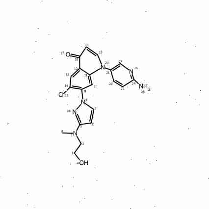 CN(CCO)c1ccn(-c2cc3c(cc2Cl)c(=O)ccn3-c2ccc(N)nc2)n1